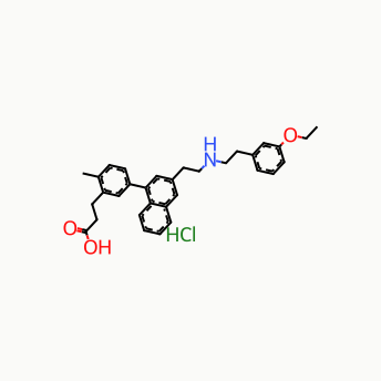 CCOc1cccc(CCNCCc2cc(-c3ccc(C)c(CCC(=O)O)c3)c3ccccc3c2)c1.Cl